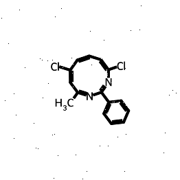 Cc1cc(Cl)cccc(Cl)nc(-c2ccccc2)n1